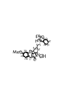 CCC(=O)N[C@@H](CCN1CCC2(CC1)NC(=O)N(Cc1ccc(OC)cc1)C2=O)c1ccccc1.Cl